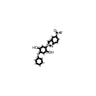 O=[N+]([O-])c1ccc2nn(-c3cc(O)c(Sc4ccccc4)cc3O)cc2c1